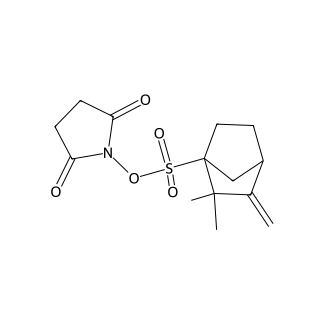 C=C1C2CCC(S(=O)(=O)ON3C(=O)CCC3=O)(C2)C1(C)C